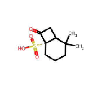 CC1(C)CCC[C@@]2(S(=O)(=O)O)C(=O)CC12